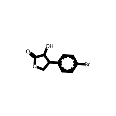 O=C1OCC(c2ccc(Br)cc2)C1O